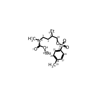 CCC(CCN(C)C(=O)OC(C)(C)C)COS(=O)(=O)c1ccc(C)cc1